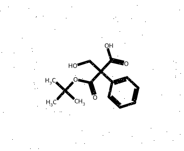 CC(C)(C)OC(=O)C(CO)(C(=O)O)c1ccccc1